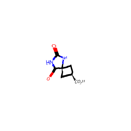 O=C1NC(=O)[C@]2(C[C@H](C(=O)O)C2)N1